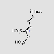 CCCCCCCCC/C=C(/CS(=O)(=O)O)S(=O)(=O)O